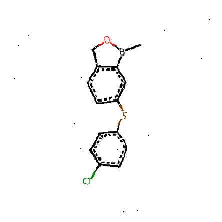 CB1OCc2ccc(Sc3ccc(Cl)cc3)cc21